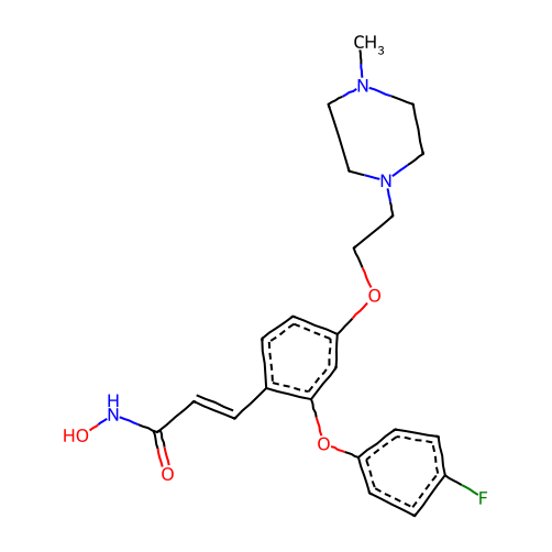 CN1CCN(CCOc2ccc(C=CC(=O)NO)c(Oc3ccc(F)cc3)c2)CC1